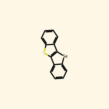 c1ccc2c(c1)sc1c3ccccc3[se]c21